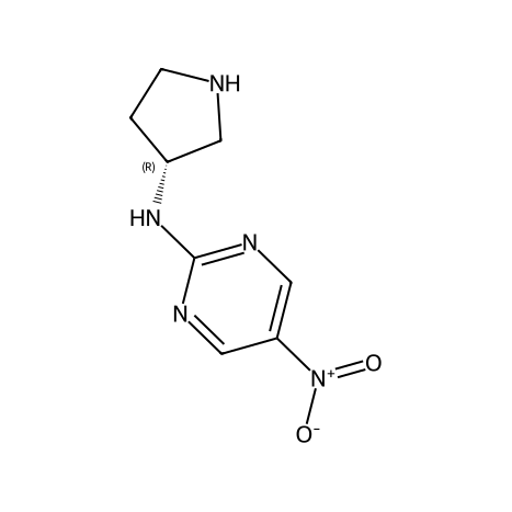 O=[N+]([O-])c1cnc(N[C@@H]2CCNC2)nc1